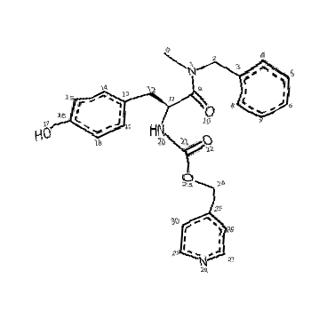 CN(Cc1ccccc1)C(=O)[C@H](Cc1ccc(O)cc1)NC(=O)OCc1ccncc1